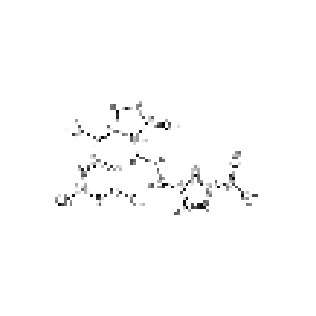 NC(c1cc(Cl)cc(Cl)c1)[C@H]1CCC(=O)N1CCSc1nc(C(=O)O)cs1